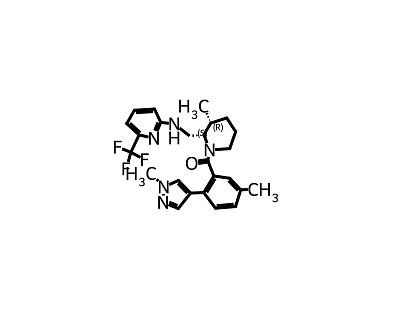 Cc1ccc(-c2cnn(C)c2)c(C(=O)N2CCC[C@@H](C)[C@H]2CNc2cccc(C(F)(F)F)n2)c1